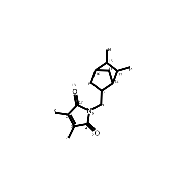 CC1=C(C)C(=O)N(CC2CC3CC2C(C)C3C)C1=O